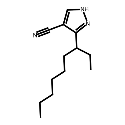 CCCCCCC(CC)c1n[nH]cc1C#N